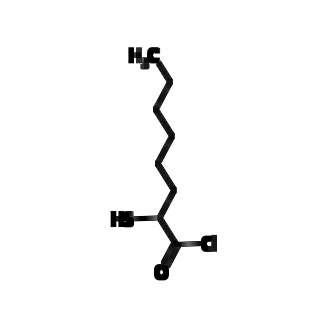 CCCCCCC(S)C(=O)Cl